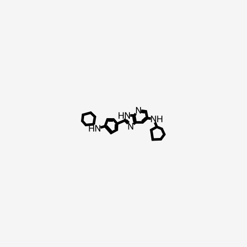 c1cc(-c2nc3cc(NC4CCCCC4)cnc3[nH]2)ccc1NC1CCCCC1